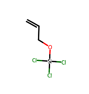 C=CCO[Si](Cl)(Cl)Cl